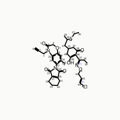 C#CCN1C(=O)COc2cc(F)c(N3C(=O)C4=C(CCCC4)C3=O)cc21.CCSC(C)CC1CC(=O)C(/C(CC)=N/OC/C=C/Cl)=C(O)C1